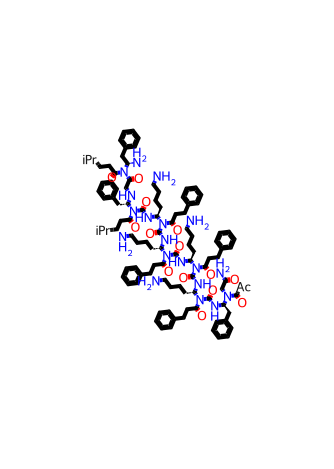 CC(=O)C(=O)N(CC(N)=O)[C@@H](Cc1ccccc1)NC(=O)N(C(=O)CCc1ccccc1)[C@H](CCCCN)NC(=O)N(C(=O)CCc1ccccc1)[C@H](CCCCN)NC(=O)N(C(=O)CCc1ccccc1)[C@H](CCCCN)NC(=O)N(C(=O)CCc1ccccc1)[C@H](CCCCN)NC(=O)N(C(=O)CCC(C)C)[C@H](Cc1ccccc1)NCC(=O)N(C(=O)CCC(C)C)[C@@H](N)Cc1ccccc1